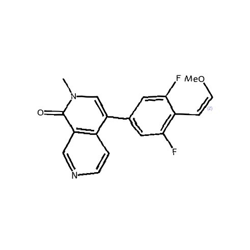 CO/C=C\c1c(F)cc(-c2cn(C)c(=O)c3cnccc23)cc1F